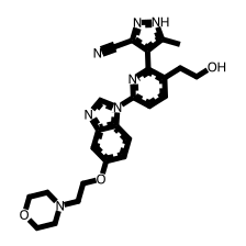 Cc1[nH]nc(C#N)c1-c1nc(-n2cnc3cc(OCCN4CCOCC4)ccc32)ccc1CCO